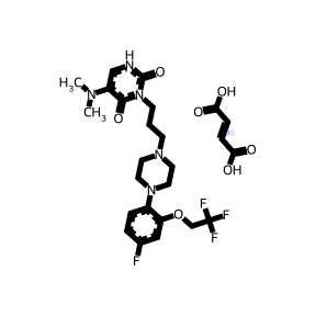 CN(C)c1c[nH]c(=O)n(CCCN2CCN(c3ccc(F)cc3OCC(F)(F)F)CC2)c1=O.O=C(O)/C=C/C(=O)O